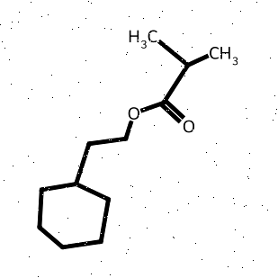 CC(C)C(=O)OCCC1CCCCC1